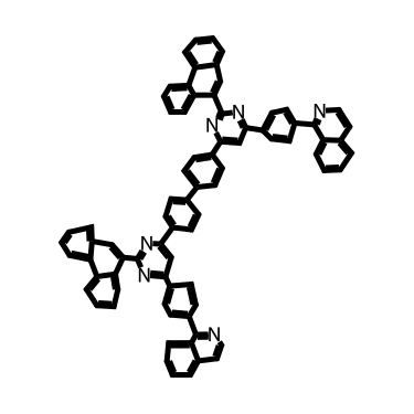 c1ccc2c(-c3ccc(-c4cc(-c5ccc(-c6ccc(-c7cc(-c8ccc(-c9nccc%10ccccc9%10)cc8)nc(-c8cc9ccccc9c9ccccc89)n7)cc6)cc5)nc(-c5cc6ccccc6c6ccccc56)n4)cc3)nccc2c1